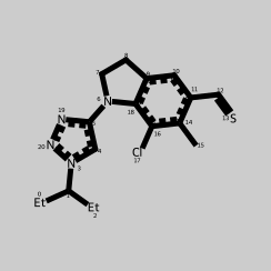 CCC(CC)n1cc(N2CCc3cc(C=S)c(C)c(Cl)c32)nn1